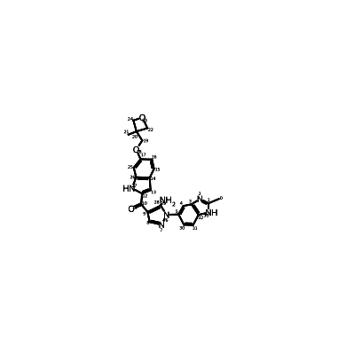 Cc1nc2cc(-n3ncc(C(=O)c4cc5ccc(OCC6(C)COC6)cc5[nH]4)c3N)ccc2[nH]1